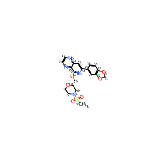 CS(=O)(=O)N1CCO[C@H](COc2nc(-c3ccc4c(c3)OCO4)cc3nccnc23)C1